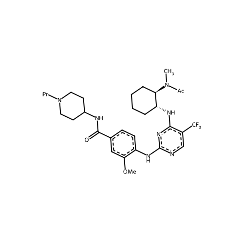 COc1cc(C(=O)NC2CCN(C(C)C)CC2)ccc1Nc1ncc(C(F)(F)F)c(N[C@@H]2CCCC[C@H]2N(C)C(C)=O)n1